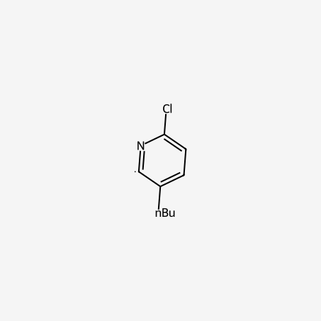 CCCCc1[c]nc(Cl)cc1